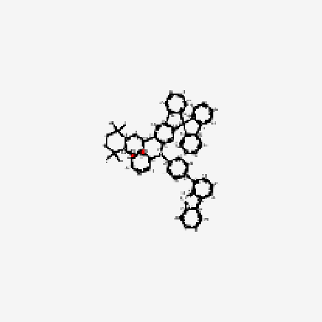 CC1(C)CCC(C)(C)c2cc(-c3cc4c(cc3N(c3ccccc3)c3ccc(-c5cccc6c5oc5ccccc56)cc3)C3(c5ccccc5-c5ccccc53)c3ccccc3-4)ccc21